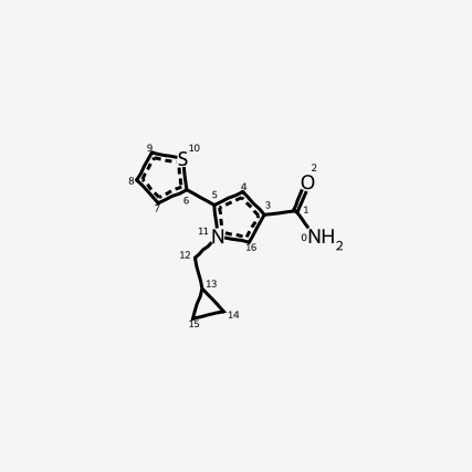 NC(=O)c1cc(-c2cccs2)n(CC2CC2)c1